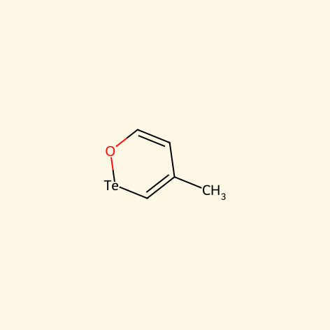 CC1=C[Te]OC=C1